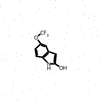 Oc1cc2cc(OC(F)(F)F)ccc2[nH]1